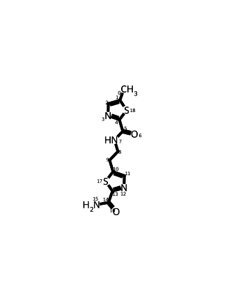 Cc1cnc(C(=O)NCCc2cnc(C(N)=O)s2)s1